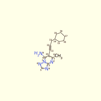 Cc1nc2ncnn2c(N)c1C#CCC1CCCCC1